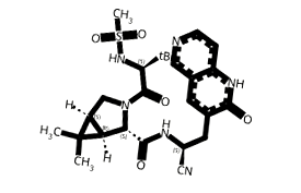 CC(C)(C)[C@H](NS(C)(=O)=O)C(=O)N1C[C@H]2[C@@H]([C@H]1C(=O)N[C@H](C#N)Cc1cc3cnccc3[nH]c1=O)C2(C)C